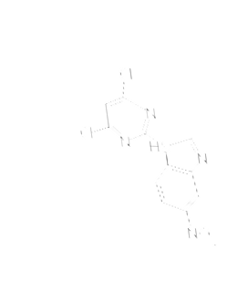 O=[N+]([O-])c1ccc2c(c1)N=C[SH]2c1nc(Cl)cc(Cl)n1